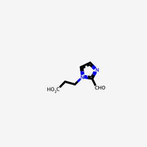 O=Cc1nccn1CCC(=O)O